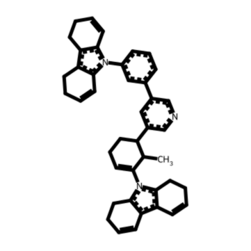 CC1C(n2c3c(c4c2CCC=C4)C=CCC3)=CCCC1c1cncc(-c2cccc(-n3c4c(c5c3C=CCC5)CCC=C4)c2)c1